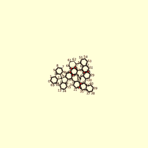 c1ccc(C2(c3ccccc3)c3ccccc3-c3c(-c4ccccc4N(c4ccccc4-c4cccc5ccccc45)c4ccccc4-c4cccc5cccc(C6CCCCC6)c45)cccc32)cc1